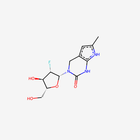 Cc1cc2c([nH]1)NC(=O)N([C@@H]1O[C@H](CO)[C@@H](O)[C@@H]1F)C2